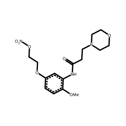 COc1ccc(OCCO[N+](=O)[O-])cc1NC(=O)CCN1CCOCC1